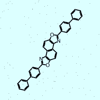 c1ccc(-c2ccc(-c3nc4c(ccc5c4ccc4oc(-c6ccc(-c7ccccc7)cc6)nc45)o3)cc2)cc1